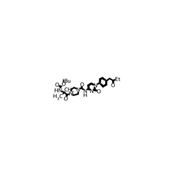 CCC(=O)Cc1ccc(-n2ccc(NC(=O)N3CCN(C(=O)C(C)(C)NC(=O)OC(C)(C)C)CC3)nc2=O)cc1